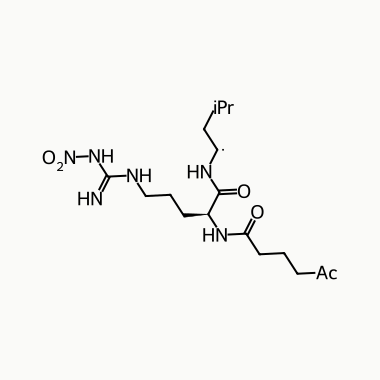 CC(=O)CCCC(=O)N[C@@H](CCCNC(=N)N[N+](=O)[O-])C(=O)N[CH]CC(C)C